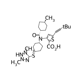 CN1N=C(S[C@H]2CC[C@@H](N(c3cc(C#CC(C)(C)C)sc3C(=O)O)C(=O)[C@H]3CC[C@H](C)CC3)CC2)N(C)N1